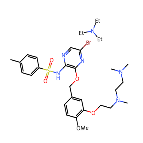 CCN(CC)CC.COc1ccc(COc2nc(Br)cnc2NS(=O)(=O)c2ccc(C)cc2)cc1OCCN(C)CCN(C)C